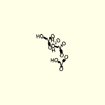 O.[O]=[V](=[O])[OH].[O]=[V](=[O])[OH].[O]=[V](=[O])[OH]